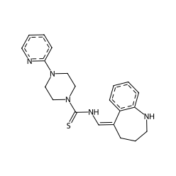 S=C(N/C=C1/CCCNc2ccccc21)N1CCN(c2ccccn2)CC1